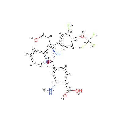 CNc1cc(C(=O)N[C@]2(c3ccc(OC(F)(F)F)c(F)c3)CCOc3cccnc32)ccc1C(=O)O